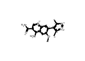 COc1cc2c(N)c(C(N)=O)cnc2cc1-c1c(C)noc1C